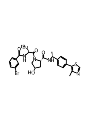 Cc1ncsc1-c1ccc([C@H](C)NC(=O)[C@@H]2C[C@@H](O)CN2C(=O)[C@@H](NC(=O)c2cccc(Br)c2)C(C)(C)C)cc1